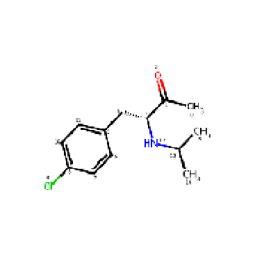 CC(=O)[C@@H](Cc1ccc(Cl)cc1)NC(C)C